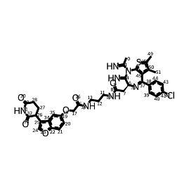 CC(=N)N1C(=N)[C@H](CC(=O)NCCCNC(=O)COc2ccc3occ(C4CCC(=O)NC4=O)c3c2)N=C(c2ccc(Cl)cc2)c2c1sc(C)c2C